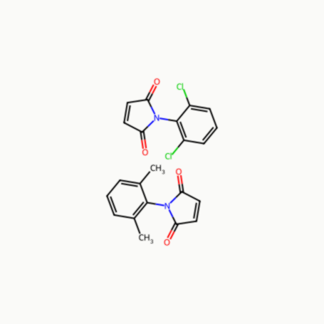 Cc1cccc(C)c1N1C(=O)C=CC1=O.O=C1C=CC(=O)N1c1c(Cl)cccc1Cl